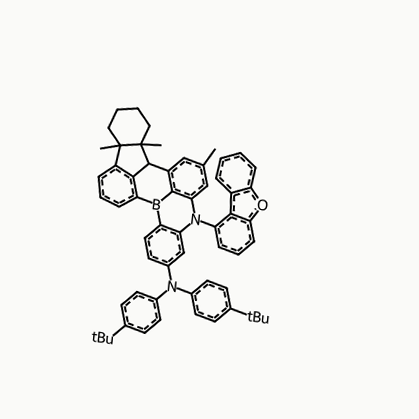 Cc1cc2c3c(c1)N(c1cccc4oc5ccccc5c14)c1cc(N(c4ccc(C(C)(C)C)cc4)c4ccc(C(C)(C)C)cc4)ccc1B3c1cccc3c1C2C1(C)CCCCC31C